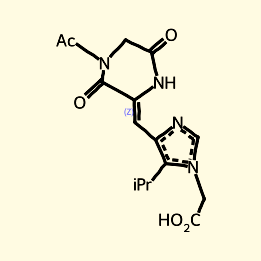 CC(=O)N1CC(=O)N/C(=C\c2ncn(CC(=O)O)c2C(C)C)C1=O